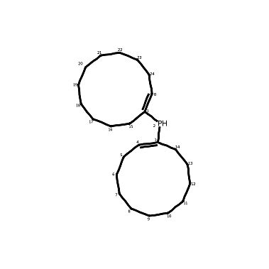 C1=C(PC2=CCCCCCCCCCC2)CCCCCCCCCC1